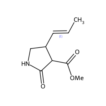 C/C=C/C1CNC(=O)C1C(=O)OC